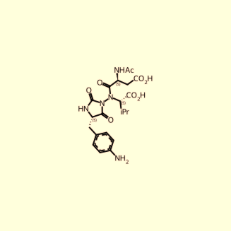 CC(=O)N[C@@H](CC(=O)O)C(=O)N([C@H](C(=O)O)C(C)C)N1C(=O)N[C@@H](Cc2ccc(N)cc2)C1=O